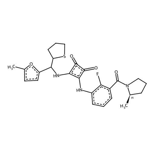 Cc1ccc(C(Nc2c(Nc3cccc(C(=O)N4CCC[C@H]4C)c3F)c(=O)c2=O)C2CCCS2)o1